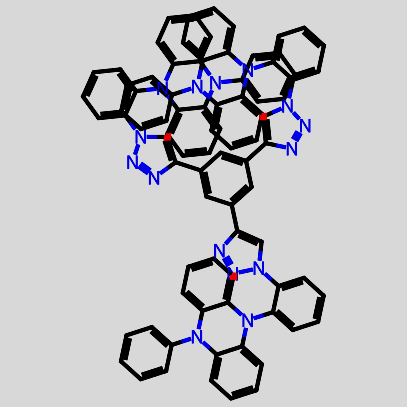 c1ccc(N2c3ccccc3N(c3ccccc3-n3cc(-c4cc(-c5cn(-c6ccccc6N6c7ccccc7N(c7ccccc7)c7ccccc76)nn5)cc(-c5cn(-c6ccccc6N6c7ccccc7N(c7ccccc7)c7ccccc76)nn5)c4)nn3)c3ccccc32)cc1